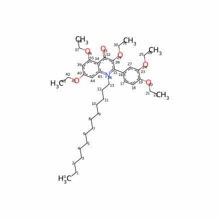 CCCCCCCCCCCCCCn1c(-c2ccc(OCC)c(OCC)c2)c(OCC)c(=O)c2c(OCC)cc(OCC)cc21